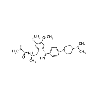 CNC(=O)N[C@H](C)Cc1cc(OC)c(OC)cc1C(=N)c1ccc(N2CCC(N(C)C)CC2)cc1